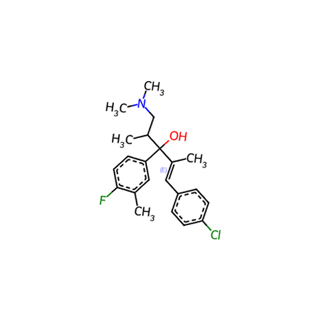 C/C(=C\c1ccc(Cl)cc1)C(O)(c1ccc(F)c(C)c1)C(C)CN(C)C